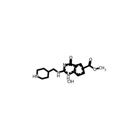 COC(=O)c1ccc2[nH]c(NCC3CCNCC3)nc(=O)c2c1.Cl